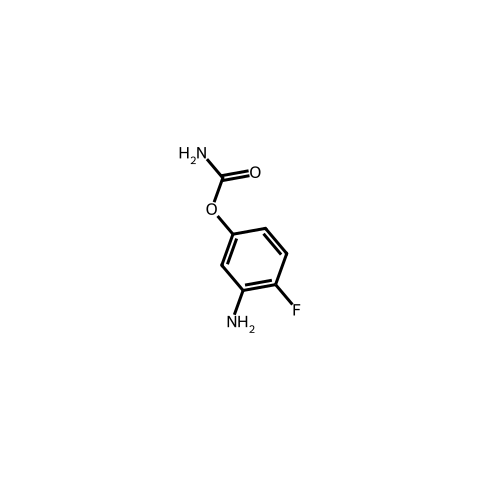 NC(=O)Oc1ccc(F)c(N)c1